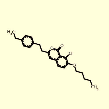 CCCCCOc1ccc2cc(CCc3ccc(CC)cc3)oc(=O)c2c1Cl